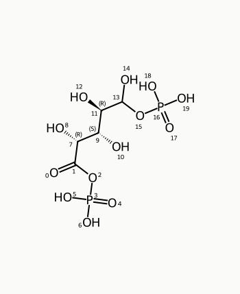 O=C(OP(=O)(O)O)[C@H](O)[C@@H](O)[C@@H](O)C(O)OP(=O)(O)O